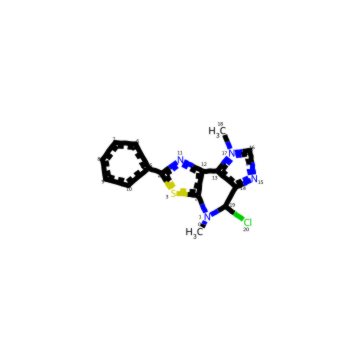 CN1c2sc(-c3ccccc3)nc2-c2c(ncn2C)C1Cl